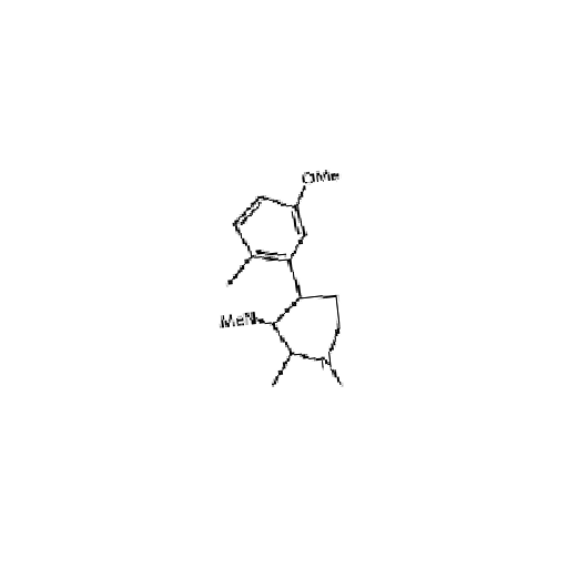 CNC1C(c2cc(OC)ccc2C)CCN(C)C1C